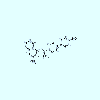 CC(CC(OC(N)=O)c1ccccc1)N1CCN(C2C=CC(N=O)=CC2)CC1